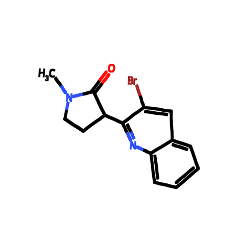 CN1CCC(c2nc3ccccc3cc2Br)C1=O